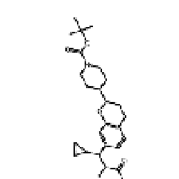 COC(=O)[C@@H](C)[C@H](c1ccc2c(c1)OC(C1CCN(C(=O)OC(C)(C)C)CC1)CC2)C1CC1